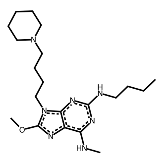 CCCCNc1nc(NC)c2nc(OC)n(CCCCN3CCCCC3)c2n1